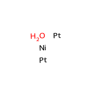 O.[Ni].[Pt].[Pt]